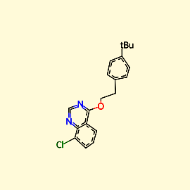 CC(C)(C)c1ccc(CCOc2ncnc3c(Cl)cccc23)cc1